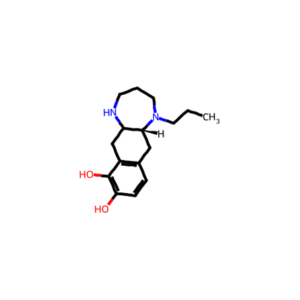 CCCN1CCCNC2Cc3c(ccc(O)c3O)C[C@H]21